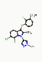 CCCn1cc(-n2c(C)c(Sc3cccc(C(=O)O)c3F)c3ccc(Cl)c(F)c32)cn1